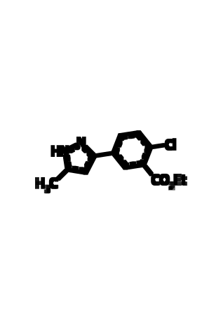 CCOC(=O)c1cc(-c2cc(C)[nH]n2)ccc1Cl